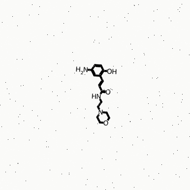 Nc1ccc(O)c(C=CC(=O)NCCN2CCOCC2)c1